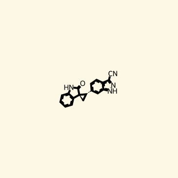 N#Cc1n[nH]c2cc([C@@H]3C[C@@]34C(=O)Nc3ccccc34)ccc12